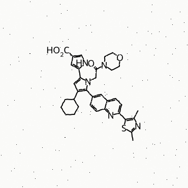 Cc1nc(C)c(-c2ccc3cc(-c4c(C5CCCCC5)cc(-c5cc(C(=O)O)c[nH]5)n4CC(=O)N4CCOCC4)ccc3n2)s1